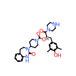 Cc1cc(C[C@@H](OC(=O)N2CCC(N3CCc4ccccc4NC3=O)CC2)C(=O)N2CCNCC2)cc(C)c1O